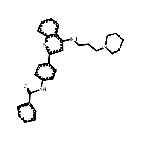 O=C(Nc1ccc(-c2cc(NCCCN3CCCCC3)c3ccccc3n2)cc1)c1ccccc1